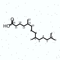 CC(C)CCCC(C)CCCC(C)CCCC(=O)O